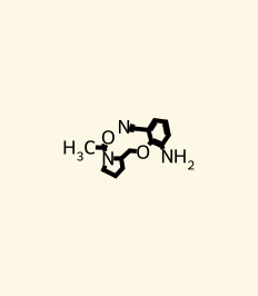 CC(=O)N1CCCC1COc1c(N)cccc1C#N